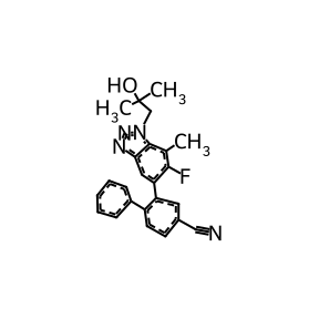 Cc1c(F)c(-c2cc(C#N)ccc2-c2ccccc2)cc2nnn(CC(C)(C)O)c12